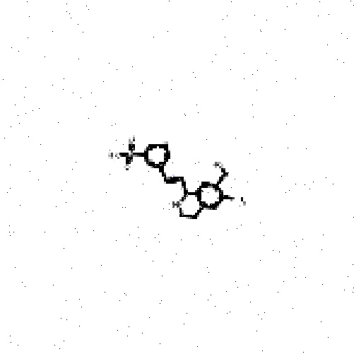 Cc1cc2c(cc1CO)C(/C=C/c1cccc(S(C)(=O)=O)c1)NCC2